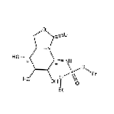 CCOP(=O)(N[C@@H]1C(O)C(O)[C@H](O)C2COC(=O)N21)OCC